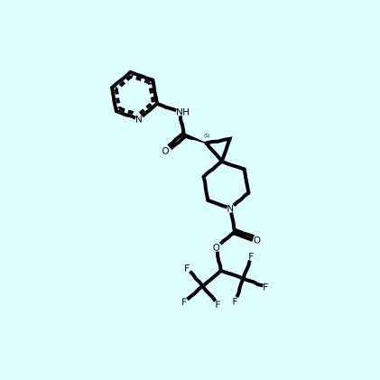 O=C(Nc1ccccn1)[C@H]1CC12CCN(C(=O)OC(C(F)(F)F)C(F)(F)F)CC2